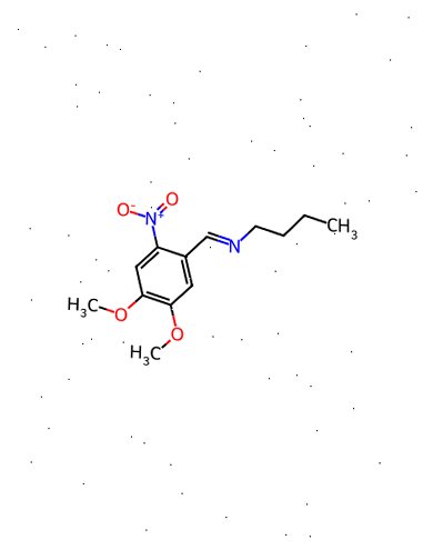 CCCCN=Cc1cc(OC)c(OC)cc1[N+](=O)[O-]